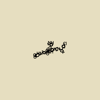 Cc1cc(S(=O)(=O)NC(=O)c2ccc(N3CCN(CC4=C(c5ccc(Cl)cc5)CC(C)(C)CC4)CC3)cc2Oc2cccc3[nH]ccc23)ccc1NCC1CCS(=O)(=O)CC1